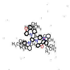 CC(C)(C)c1ccc2c(c1)N(c1cccc3oc4ccccc4c13)c1cc(N3c4ccc(C(C)(C)C)cc4C4(C)CCCCC34C)cc3c1B2c1ccc(N2c4ccc(C(C)(C)C)cc4C4(C)CCCCC24C)cc1N3c1cccc2oc3ccccc3c12